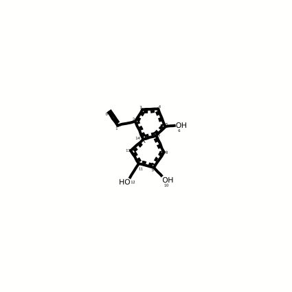 C=Cc1ccc(O)c2cc(O)c(O)cc12